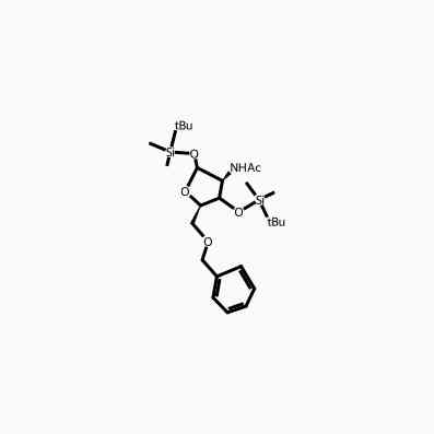 CC(=O)N[C@@H]1C(O[Si](C)(C)C(C)(C)C)O[C@H](COCc2ccccc2)C1O[Si](C)(C)C(C)(C)C